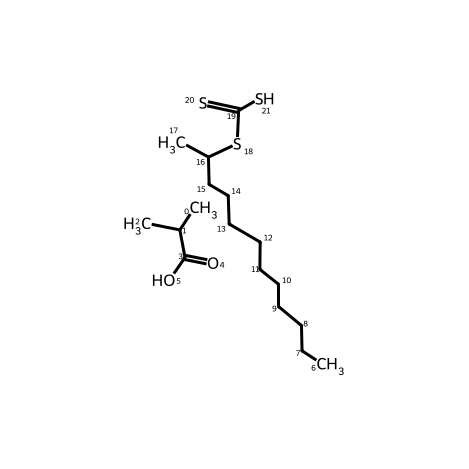 CC(C)C(=O)O.CCCCCCCCCCC(C)SC(=S)S